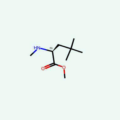 CN[C@@H](CC(C)(C)C)C(=O)OC